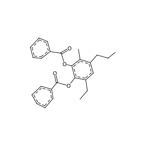 CCCc1cc(CC)c(OC(=O)c2ccccc2)c(OC(=O)c2ccccc2)c1C